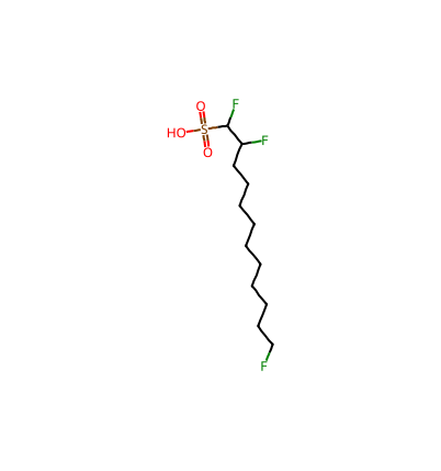 O=S(=O)(O)C(F)C(F)CCCCCCCCCCF